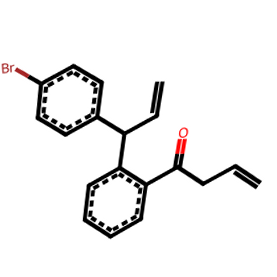 C=CCC(=O)c1ccccc1C(C=C)c1ccc(Br)cc1